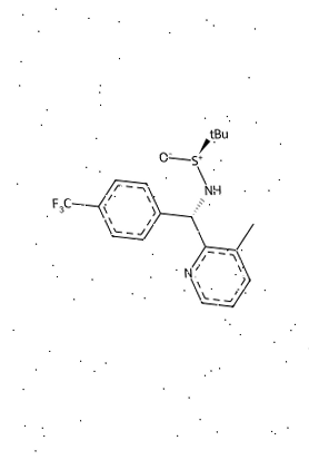 Cc1cccnc1[C@@H](N[S@@+]([O-])C(C)(C)C)c1ccc(C(F)(F)F)cc1